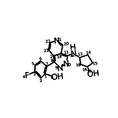 Oc1cc(F)ccc1-c1nnc(N[C@H]2CC[C@@H](O)C2)c2cnccc12